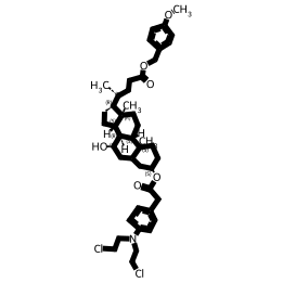 COc1ccc(COC(=O)CC[C@@H](C)[C@H]2CC[C@H]3[C@@H]4[C@@H](O)CC5C[C@@H](OC(=O)Cc6ccc(N(CCCl)CCCl)cc6)CC[C@]5(C)[C@H]4CC[C@]23C)cc1